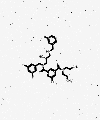 CCCN(CCC)C(=O)c1cc(C)cc(C(=O)N(Cc2cc(F)cc(Cl)c2)C[C@H](O)CNCc2cccc(I)c2)c1